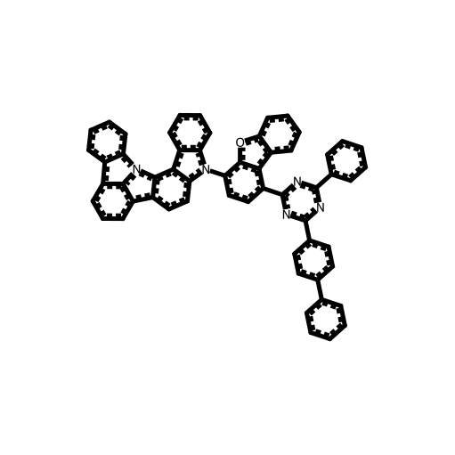 c1ccc(-c2ccc(-c3nc(-c4ccccc4)nc(-c4ccc(-n5c6ccccc6c6c5ccc5c7cccc8c9ccccc9n(c87)c56)c5oc6ccccc6c45)n3)cc2)cc1